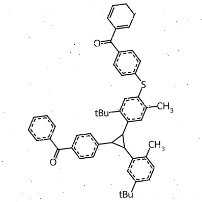 Cc1cc(C2C(c3ccc(C(=O)c4ccccc4)cc3)C2c2cc(C(C)(C)C)ccc2C)c(C(C)(C)C)cc1Sc1ccc(C(=O)C2=CCCC=C2)cc1